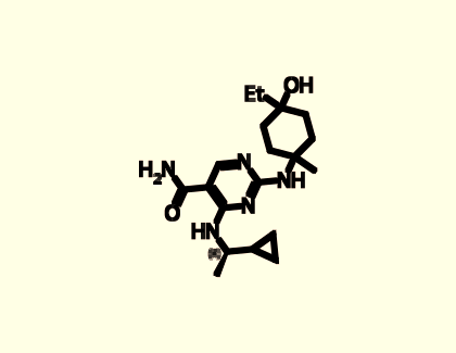 CCC1(O)CCC(C)(Nc2ncc(C(N)=O)c(N[C@H](C)C3CC3)n2)CC1